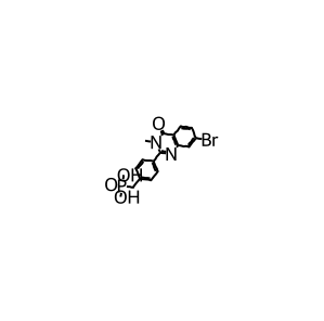 Cn1c(-c2ccc(CP(=O)(O)O)cc2)nc2cc(Br)ccc2c1=O